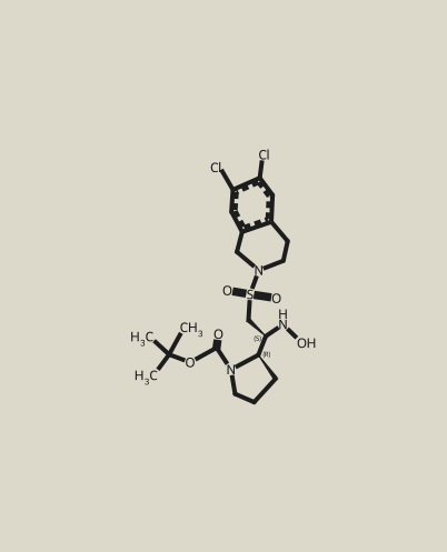 CC(C)(C)OC(=O)N1CCC[C@@H]1[C@@H](CS(=O)(=O)N1CCc2cc(Cl)c(Cl)cc2C1)NO